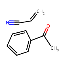 C=CC#N.CC(=O)c1ccccc1